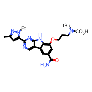 CCn1nc(C)cc1-c1ncc2c(n1)[nH]c1c(OCCCN(C(=O)O)C(C)(C)C)cc(C(N)=O)cc12